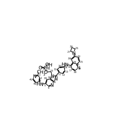 Cc1cc(Nc2cnc3nc(-c4ccc(Nc5ccnc6ccc(N7CCC7)cc56)cc4)n(CO[PH](=O)O)c3c2)ccn1